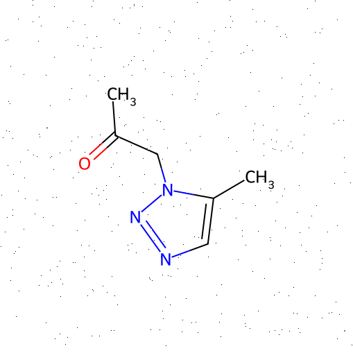 CC(=O)Cn1nncc1C